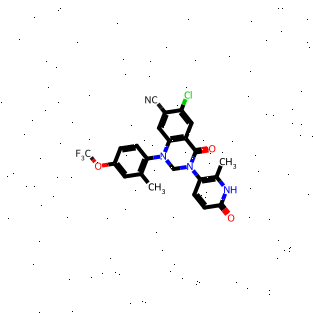 Cc1cc(OC(F)(F)F)ccc1N1CN(c2ccc(=O)[nH]c2C)C(=O)c2cc(Cl)c(C#N)cc21